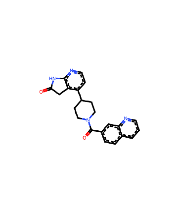 O=C1Cc2c(C3CCN(C(=O)c4ccc5cccnc5c4)CC3)ccnc2N1